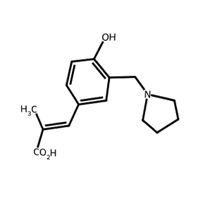 CC(=Cc1ccc(O)c(CN2CCCC2)c1)C(=O)O